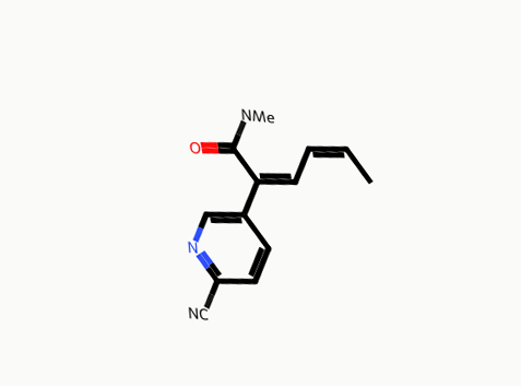 C/C=C\C=C(/C(=O)NC)c1ccc(C#N)nc1